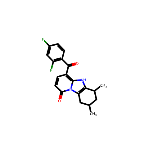 CC1Cc2c([nH]c3c(C(=O)c4ccc(F)cc4F)ccc(=O)n23)C(C)C1